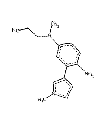 CN(CCO)c1ccc(N)c(-c2ccn(C)c2)c1